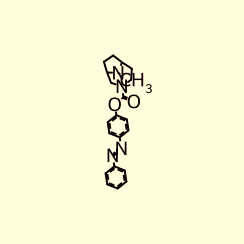 CN1C2CCC1CN(C(=O)Oc1ccc(/N=N/c3ccccc3)cc1)CC2